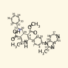 COC(=O)C1=C(c2ccc(-n3c(C)nc4cnccc43)cc2)NC(C)=C(C(=O)O)C1/C=C/c1ccccc1